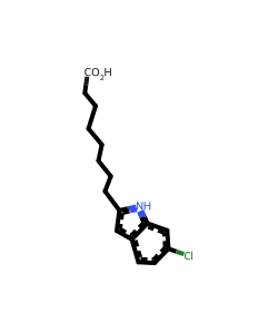 O=C(O)CCCCCCCc1cc2ccc(Cl)cc2[nH]1